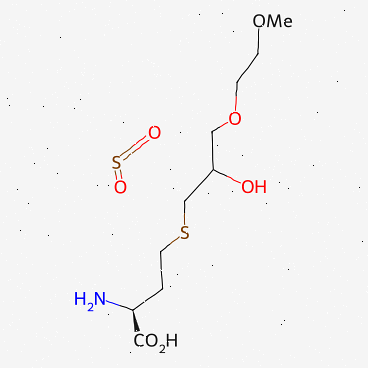 COCCOCC(O)CSCC[C@H](N)C(=O)O.O=S=O